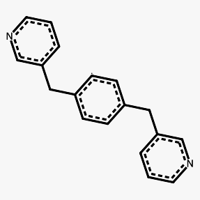 [c]1cc(Cc2cccnc2)ccc1Cc1cccnc1